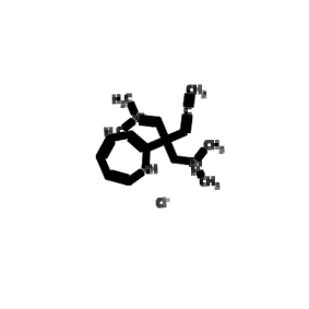 C=C=CC(C=[N+](C)C)([CH2][SnH]([CH3])[CH3])C1=CC=CC=CN1.[Cl-]